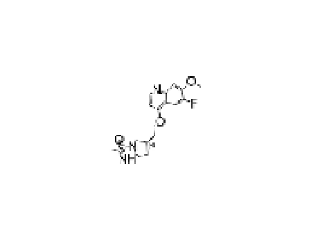 COc1cc2nccc(OCC[C@H]3CCN(S(C)(=N)=O)C3)c2cc1F